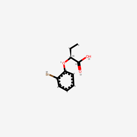 CC[C@H](Oc1ccccc1Br)C(=O)O